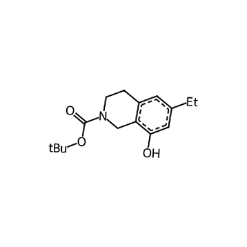 CCc1cc(O)c2c(c1)CCN(C(=O)OC(C)(C)C)C2